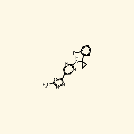 Fc1ccccc1C1(Nc2ncc(-c3nnc(C(F)(F)F)o3)cn2)CC1